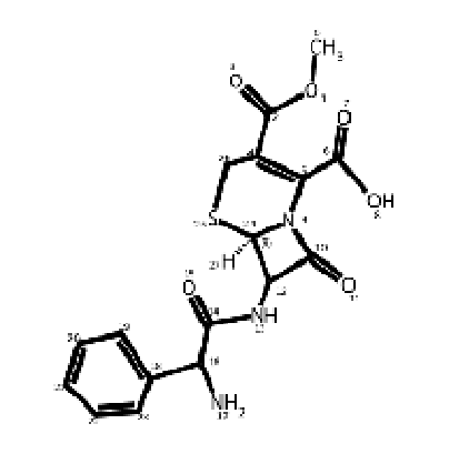 COC(=O)C1=C(C(=O)O)N2C(=O)C(NC(=O)C(N)c3ccccc3)[C@H]2SC1